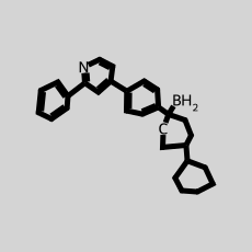 BC1(c2ccc(-c3ccnc(-c4ccccc4)c3)cc2)CCC(C2CCCCC2)CC1